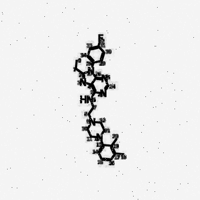 CCc1nc2c(NCCN3CCN(c4cccc(C)c4C)CC3)ncnc2n1-c1ccc(F)cc1